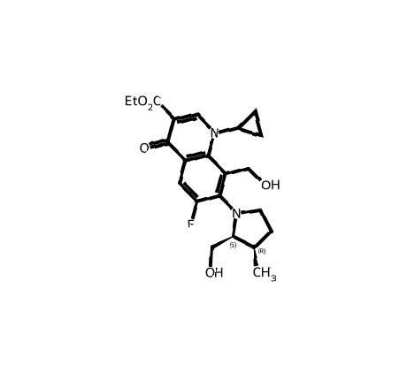 CCOC(=O)c1cn(C2CC2)c2c(CO)c(N3CC[C@@H](C)[C@H]3CO)c(F)cc2c1=O